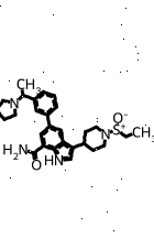 CC[S+]([O-])N1CCC(c2c[nH]c3c(C(N)=O)cc(-c4cccc(C(C)N5CCCC5)c4)cc23)CC1